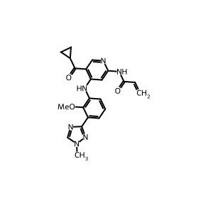 C=CC(=O)Nc1cc(Nc2cccc(-c3ncn(C)n3)c2OC)c(C(=O)C2CC2)cn1